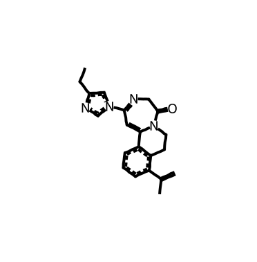 C=C(C)c1cccc2c1CCN1C(=O)CN=C(n3cnc(CC)c3)C=C21